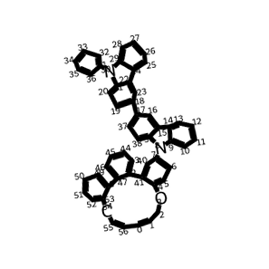 C1=C\COc2ccc(-n3c4ccccc4c4cc(-c5ccc6c(c5)c5ccccc5n6-c5ccccc5)ccc43)cc2-c2ccccc2-c2ccccc2C\C=C/1